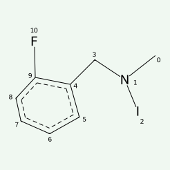 CN(I)Cc1ccccc1F